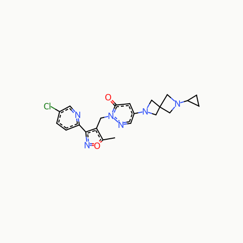 Cc1onc(-c2ccc(Cl)cn2)c1Cn1ncc(N2CC3(C2)CN(C2CC2)C3)cc1=O